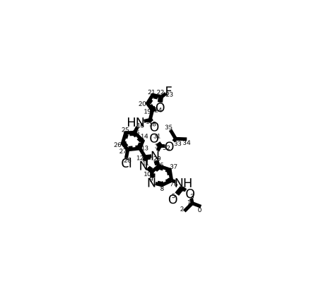 CC(C)OC(=O)Nc1cnc2nc(-c3cc(NC(=O)c4ccc(F)o4)ccc3Cl)n(C(=O)OC(C)C)c2c1